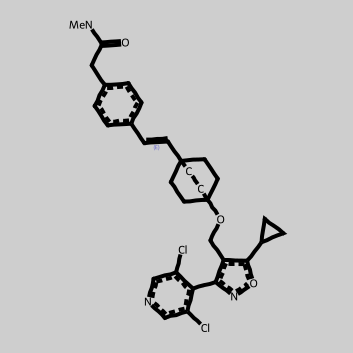 CNC(=O)Cc1ccc(/C=C/C23CCC(OCc4c(-c5c(Cl)cncc5Cl)noc4C4CC4)(CC2)CC3)cc1